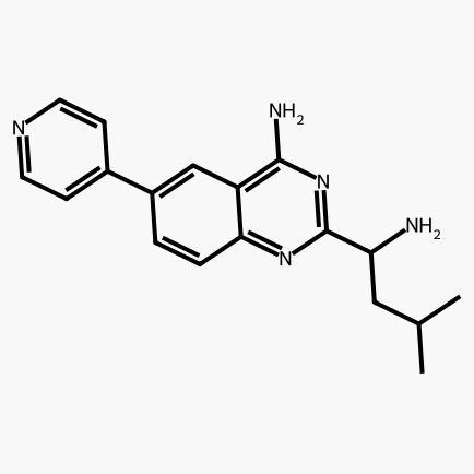 CC(C)CC(N)c1nc(N)c2cc(-c3ccncc3)ccc2n1